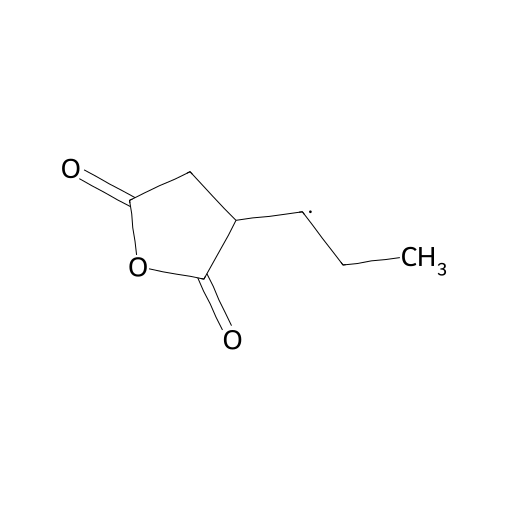 CC[CH]C1CC(=O)OC1=O